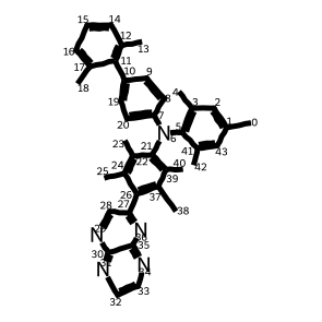 Cc1cc(C)c(N(c2ccc(-c3c(C)cccc3C)cc2)c2c(C)c(C)c(-c3cnc4nccnc4n3)c(C)c2C)c(C)c1